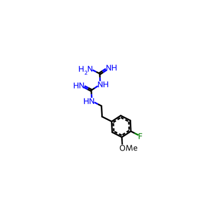 COc1cc(CCNC(=N)NC(=N)N)ccc1F